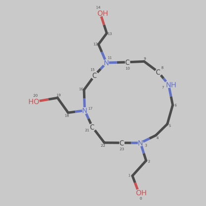 OCCN1CCCNCCCN(CCO)CCN(CCO)CCC1